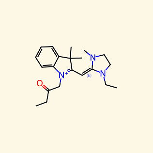 CCC(=O)C[N+]1=C(/C=C2\N(C)CCN2CC)C(C)(C)c2ccccc21